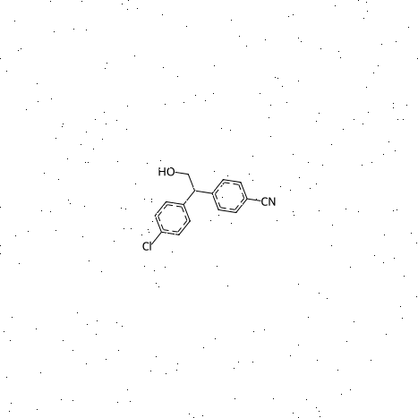 N#Cc1ccc(C(CO)c2ccc(Cl)cc2)cc1